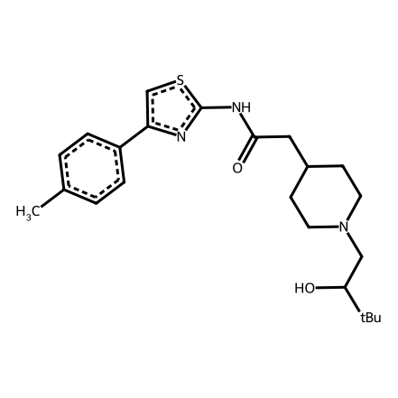 Cc1ccc(-c2csc(NC(=O)CC3CCN(CC(O)C(C)(C)C)CC3)n2)cc1